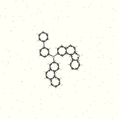 c1ccc(-c2cccc(N(c3ccc4c(ccc5ccccc54)c3)c3ccc4ccc5sc6ccccc6c5c4c3)c2)cc1